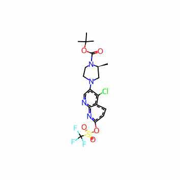 C[C@H]1CN(c2cnc3nc(OS(=O)(=O)C(F)(F)F)ccc3c2Cl)CCN1C(=O)OC(C)(C)C